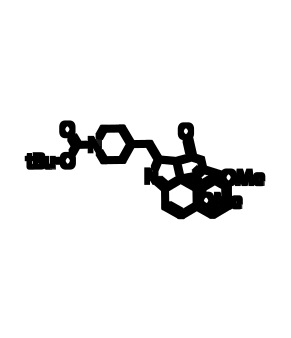 COC1=C(OC)C23C(=NC(CC4CCN(C(=O)OC(C)(C)C)CC4)C2C(=O)C1)C=Cc1ccccc13